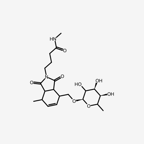 CNC(=O)CCCN1C(=O)C2C(C)C=CC(CO[C@@H]3OC(C)[C@H](O)[C@H](O)C3O)C2C1=O